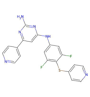 Nc1nc(Nc2cc(F)c(Sc3ccncc3)c(F)c2)cc(-c2ccncc2)n1